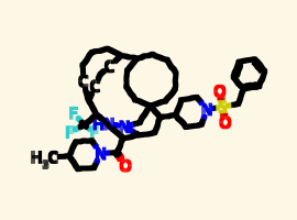 CC1CCN(C(=O)C2C3CC(C4CCN(S(=O)(=O)Cc5ccccc5)CC4)C45CCCCCC(CCC4)C4CCCCC(CCC4)C2(C(F)(F)F)NN3C5)CC1